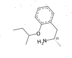 CCC(C)Oc1ccccc1C[C@H](C)N